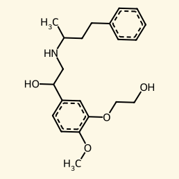 COc1ccc(C(O)CNC(C)CCc2ccccc2)cc1OCCO